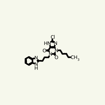 CCCCCn1c(=O)n(CCCc2nc3ccccc3[nH]2)c(=O)c2[nH]c(Cl)nc21